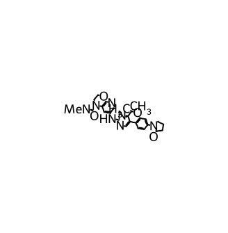 CNC(=O)N1CCOc2ncc(Nc3ncc4c(n3)C(C)(C)Oc3cc(N5CCCC5=O)ccc3-4)cc21